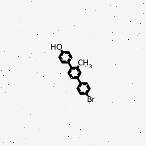 Cc1cc(-c2ccc(Br)cc2)ccc1-c1ccc(O)cc1